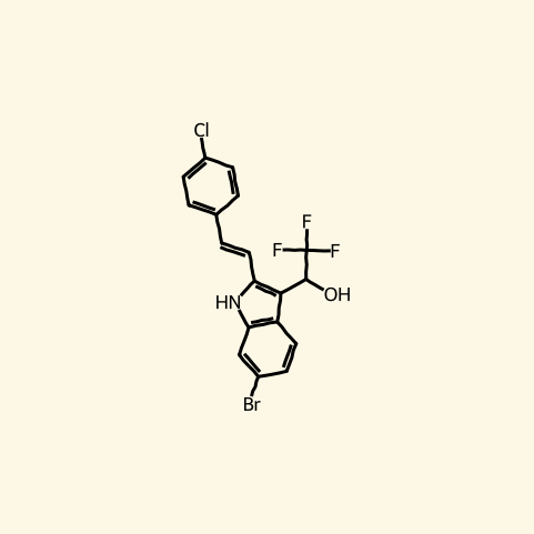 OC(c1c(/C=C/c2ccc(Cl)cc2)[nH]c2cc(Br)ccc12)C(F)(F)F